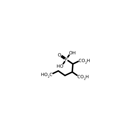 O=C(O)CCC(C(=O)O)C(C(=O)O)P(=O)(O)O